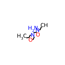 C#CCN(N)C(=O)CN1CCOC(CC)C1